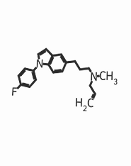 C=CCN(C)CCCc1ccc2c(ccn2-c2ccc(F)cc2)c1